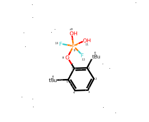 CC(C)(C)c1cccc(C(C)(C)C)c1OP(O)(O)(F)F